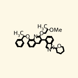 CO[C@@H](C)COc1nc2c(O[C@@H](C)c3ccccc3)cccc2cc1-c1cccc2c1cnn2C1CCCCO1